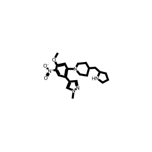 COc1cc(N2CCC(CC3CCCN3)CC2)c(-c2cnn(C)c2)cc1[N+](=O)[O-]